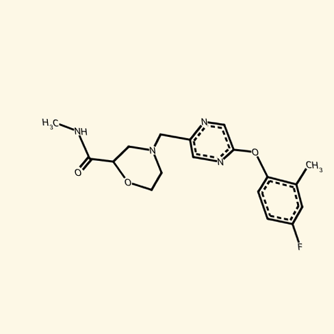 CNC(=O)C1CN(Cc2cnc(Oc3ccc(F)cc3C)cn2)CCO1